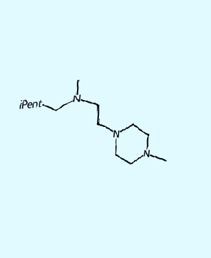 CCCC(C)CN(C)CCN1CCN(C)CC1